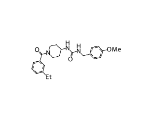 CCc1cccc(C(=O)N2CCC(NC(=O)NCc3ccc(OC)cc3)CC2)c1